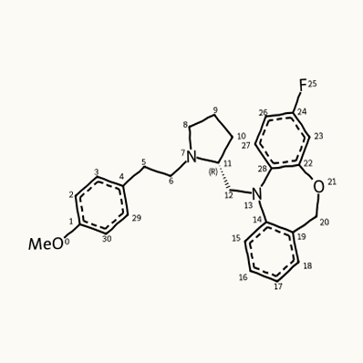 COc1ccc(CCN2CCC[C@@H]2CN2c3ccccc3COc3cc(F)ccc32)cc1